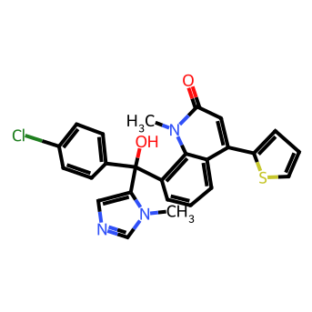 Cn1cncc1C(O)(c1ccc(Cl)cc1)c1cccc2c(-c3cccs3)cc(=O)n(C)c12